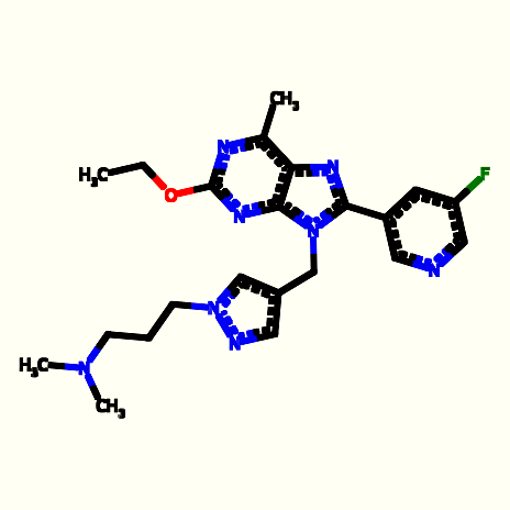 CCOc1nc(C)c2nc(-c3cncc(F)c3)n(Cc3cnn(CCCN(C)C)c3)c2n1